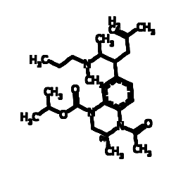 C=C(C)CC(c1ccc2c(c1)N(C(=O)OC(C)C)C[C@H](C)N2C(C)=O)C(C)N(C)CCC